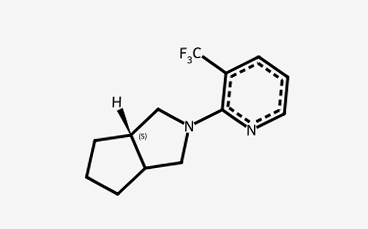 FC(F)(F)c1cccnc1N1CC2CCC[C@@H]2C1